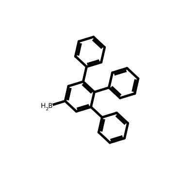 Bc1cc(-c2ccccc2)c(-c2ccccc2)c(-c2ccccc2)c1